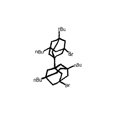 CCCCC12CC3(Br)CC(CCCC)(C1)CC(C14CC5(Br)CC(CCCC)(CC(CCCC)(C5)C1)C4)(C3)C2